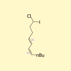 CCCC/C=C\C=C\CCC(Cl)I